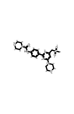 CS(=O)(=O)Cc1cc(N2CCOCC2)nc(-c2ccc(NC(=O)N3CCOCC3)cc2)n1